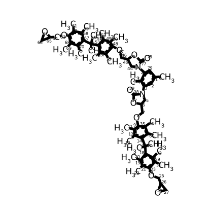 Cc1cc(N2CC(COc3c(C)c(C)c(C(C)(C)c4c(C)c(C)c(OCC5CO5)c(C)c4C)c(C)c3C)OC2=O)c(C)c(N2CC(COc3c(C)c(C)c(C(C)(C)c4c(C)c(C)c(OCC5CO5)c(C)c4C)c(C)c3C)OC2=O)c1